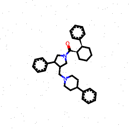 O=C([C@@H]1CCCC[C@@H]1c1ccccc1)N1CC(CN2CCC(c3ccccc3)CC2)C(c2ccccc2)C1